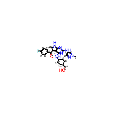 Cn1cc(Nc2nc(NC3CCC(CO)CC3)c3c(C(=O)c4ccc(F)cc4)c[nH]c3n2)cn1